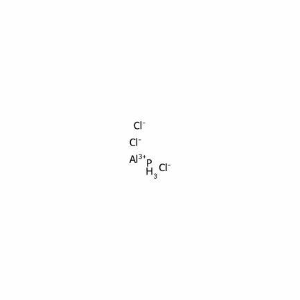 P.[Al+3].[Cl-].[Cl-].[Cl-]